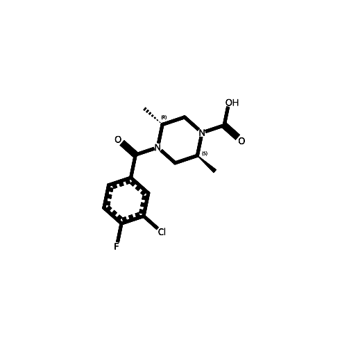 C[C@@H]1CN(C(=O)O)[C@@H](C)CN1C(=O)c1ccc(F)c(Cl)c1